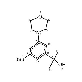 CC(C)(C)c1cc(N2CCOCC2)cc(C(C)(C)O)c1